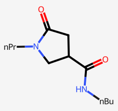 CCCCNC(=O)C1CC(=O)N(CCC)C1